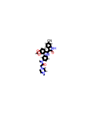 CN1CCN(CC(=O)N(C)c2ccc(N/C(=C3\C(=O)Nc4cc(C#N)ccc43)c3ccc4c(c3)OCO4)cc2)CC1